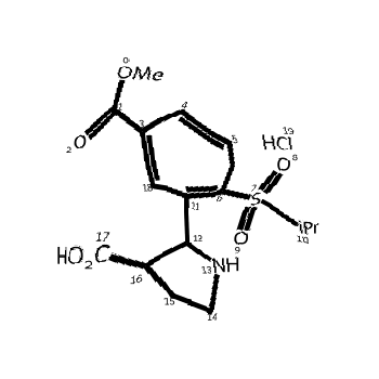 COC(=O)c1ccc(S(=O)(=O)C(C)C)c(C2NCCC2C(=O)O)c1.Cl